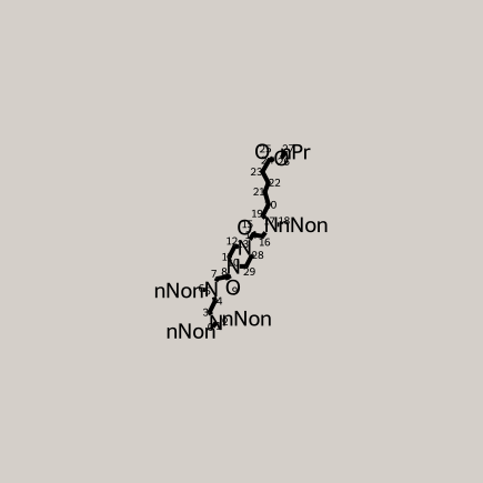 CCCCCCCCCN(CCCCCCCCC)CCN(CCCCCCCCC)CC(=O)N1CCN(C(=O)CN(CCCCCCCCC)CCCCCC(=O)OCCC)CC1